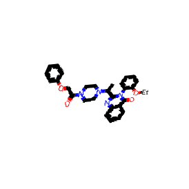 CCOc1ccccc1-n1c(C(C)N2CCN(C(=O)COc3ccccc3)CC2)nc2ccccc2c1=O